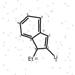 [Li][C]1=Cc2ccccc2C1CC